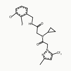 Cc1cc(C(F)(F)F)n(CC(=O)N(CC(=O)NCc2cccc(Cl)c2F)C2CC2)n1